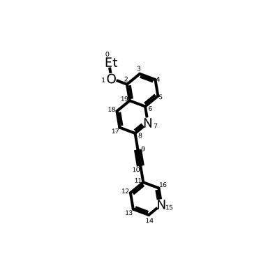 CCOc1cccc2nc(C#Cc3cccnc3)ccc12